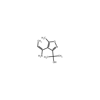 C/C=C(/N)c1c(C(C)(C)O)noc1C